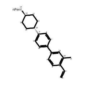 C=Cc1ccc(-c2ccc([C@H]3CC[C@H](CCCCC)CC3)cc2)cc1C